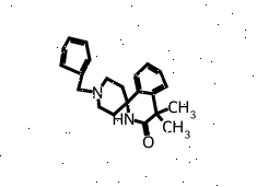 CC1(C)C(=O)NC2(CCN(Cc3ccccc3)CC2)c2ccccc21